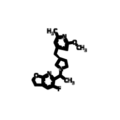 COc1cc(C[C@H]2CCN(C(C)c3nc4c(cc3F)CCO4)C2)cc(C)n1